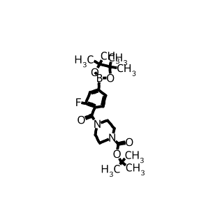 CC(C)(C)OC(=O)N1CCN(C(=O)c2ccc(B3OC(C)(C)C(C)(C)O3)cc2F)CC1